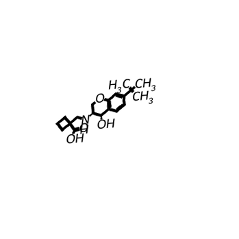 CC(C)(C)c1ccc2c(c1)OC[C@H](NCC1(C(=O)O)CCC1)[C@@H]2O